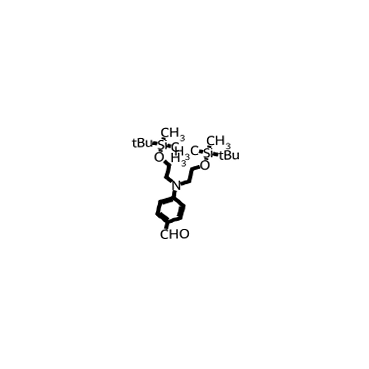 CC(C)(C)[Si](C)(C)OCCN(CCO[Si](C)(C)C(C)(C)C)c1ccc(C=O)cc1